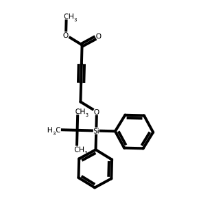 COC(=O)C#CCO[Si](c1ccccc1)(c1ccccc1)C(C)(C)C